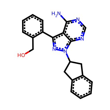 Nc1ncnc2c1c(-c1ccccc1CO)nn2C1Cc2ccccc2C1